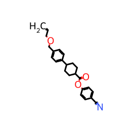 C=CCOCc1ccc(C2CCC(C(=O)Oc3ccc(C#N)cc3)CC2)cc1